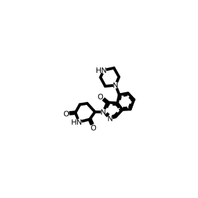 O=C1CCC(n2ncc3cccc(N4CCNCC4)c3c2=O)C(=O)N1